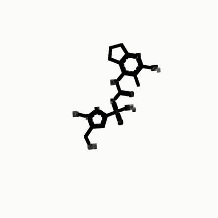 CCn1nc(S(N)(=O)=NC(=O)Nc2c(C)c(C(F)(F)F)nc3c2CCC3)cc1CO